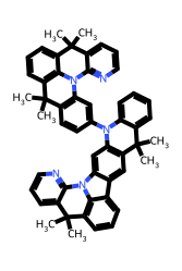 CC1(C)c2ccccc2N(c2ccc3c(c2)N2c4ncccc4C(C)(C)c4cccc(c42)C3(C)C)c2cc3c(cc21)c1cccc2c1n3-c1ncccc1C2(C)C